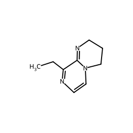 CCC1=NC=CN2CCCN=C12